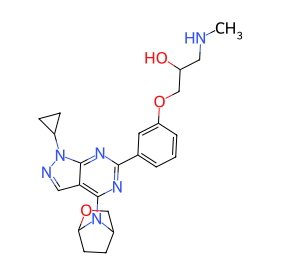 CNCC(O)COc1cccc(-c2nc(N3C4CCC3OC4)c3cnn(C4CC4)c3n2)c1